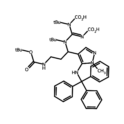 Cn1ncc(C(CCNC(=O)OC(C)(C)C)N(C(=NC(=O)O)N(C(=O)O)C(C)(C)C)C(C)(C)C)c1NC(c1ccccc1)(c1ccccc1)c1ccccc1